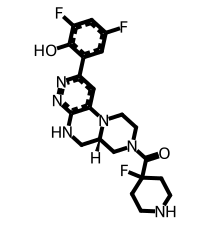 O=C(N1CCN2c3cc(-c4cc(F)cc(F)c4O)nnc3NC[C@H]2C1)C1(F)CCNCC1